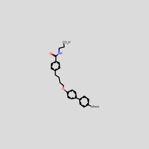 CCCCCc1ccc(-c2ccc(OCCCCc3ccc(C(=O)NCCC(=O)O)cc3)cc2)cc1